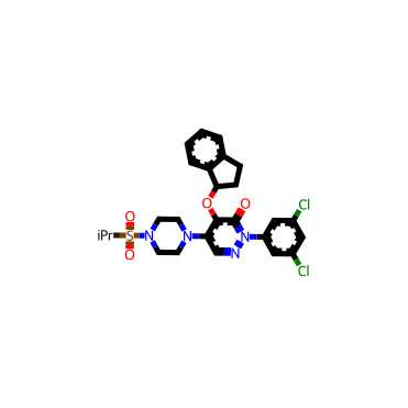 CC(C)S(=O)(=O)N1CCN(c2cnn(-c3cc(Cl)cc(Cl)c3)c(=O)c2OC2CCc3ccccc32)CC1